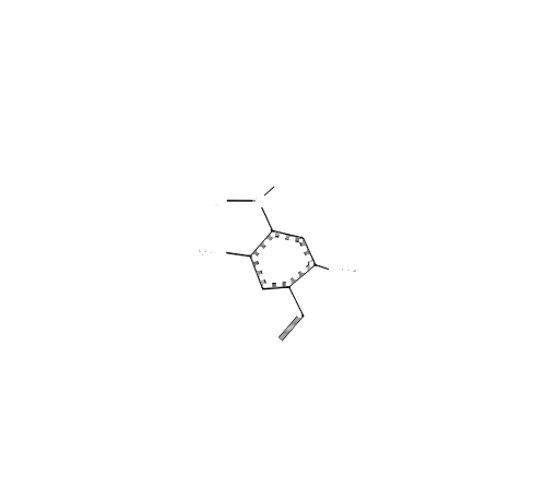 C=Cc1cc(OC)c(N(CC)CC)cc1OC